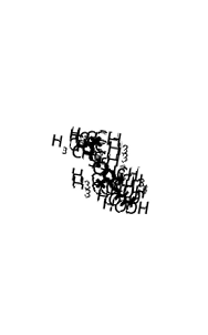 CC(C)(Sc1cc(C(C)(C)C)c(O)c(C(C)(C)C)c1)Sc1cc(C(C)(C)C)c(OCC(O)C(O)C(O)C(=O)O)c(C(C)(C)C)c1